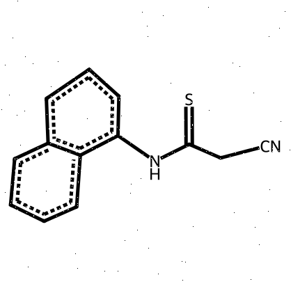 N#CCC(=S)Nc1cccc2ccccc12